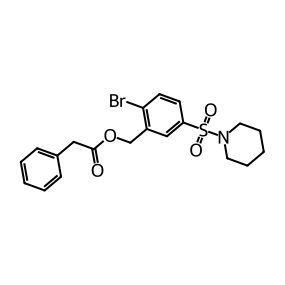 O=C(Cc1ccccc1)OCc1cc(S(=O)(=O)N2CCCCC2)ccc1Br